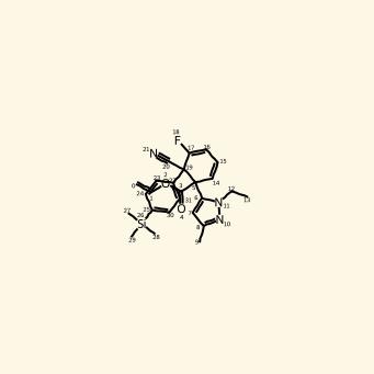 C=COC(=O)C1(c2cc(C)nn2CC)C=CC=C(F)C1(C#N)c1ccc([Si](C)(C)C)cc1